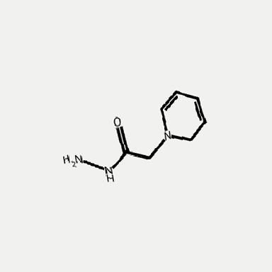 NNC(=O)CN1C=CC=CC1